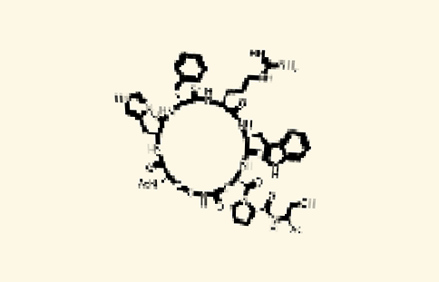 CC(=O)N[C@H]1CCNC(=O)C[C@@H](C(=O)N2CCC[C@H]2C(=O)N[C@@H](CO)C(C)=O)NC(=O)[C@H](Cc2c[nH]c3ccccc23)NC(=O)[C@H](CCCNC(=N)N)NC(=O)[C@@H](Cc2ccccc2)NC(=O)[C@H](Cc2c[nH]cn2)NC1=O